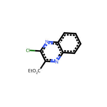 CCOC(=O)c1nc2ccccc2nc1Cl